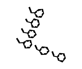 C=Cc1ccccc1.C=Cc1ccccc1.C=Cc1ccccc1.C=Cc1ccccc1.C=Cc1ccccc1.C=Cc1ccccc1